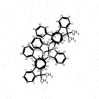 CC1(C)c2ccccc2-c2ccc(N3c4ccccc4N(c4ccc5c(c4)C(C)(C)c4ccccc4-5)C34N(c3ccccc3-c3ccccc3)c3ccccc3N4c3ccccc3-c3ccccc3)cc21